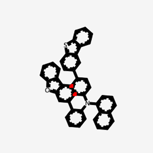 c1ccc(N(c2ccc(-c3ccc4sc5ccccc5c4c3)cc2)c2cccc3ccccc23)c(-c2ccc3c(c2)oc2ccccc23)c1